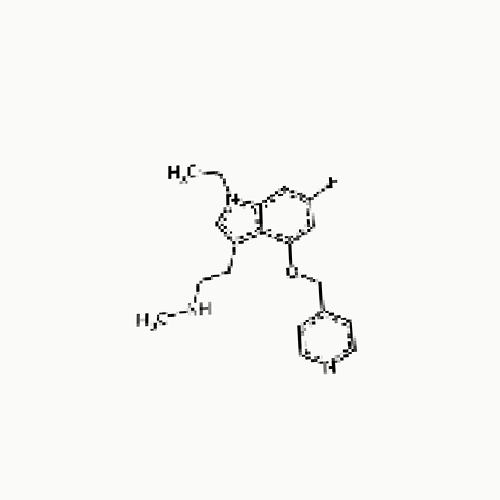 CCn1cc(CCNC)c2c(OCc3ccncc3)cc(F)cc21